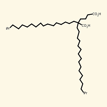 CC(C)CCCCCCCCCCCCCCCC(CCCCCCCCCCCCCCCC(C)C)(CCCC(=O)O)C(=O)O